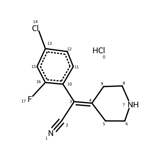 Cl.N#CC(=C1CCNCC1)c1ccc(Cl)cc1F